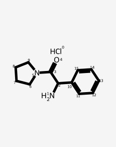 Cl.NC(C(=O)N1CCCC1)c1ccccc1